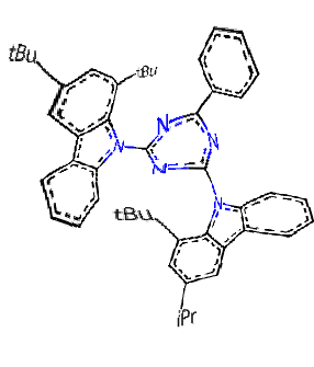 CC(C)c1cc(C(C)(C)C)c2c(c1)c1ccccc1n2-c1nc(-c2ccccc2)nc(-n2c3ccccc3c3cc(C(C)(C)C)cc(C(C)(C)C)c32)n1